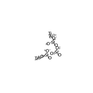 O=[Si]([O-])[O-].O=[Si]([O-])[O-].O=[Si]([O-])[O-].[Al+3].[Al+3].[Ti].[Ti]